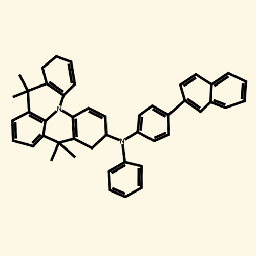 CC1(C)C2=C(C=CCC2)N2C3=C(CC(N(c4ccccc4)c4ccc(-c5ccc6ccccc6c5)cc4)C=C3)C(C)(C)c3cccc1c32